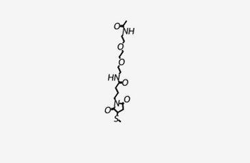 CSC1CC(=O)N(CCCC(=O)NCCOCCOCCNC(C)=O)C1=O